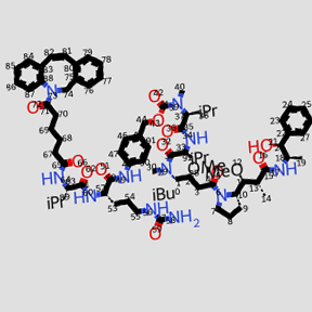 CC[C@H](C)[C@@H]([C@@H](CC(=O)N1CCC[C@H]1[C@H](OC)[C@@H](C)C(=O)N[C@H](C)[C@@H](O)c1ccccc1)OC)N(C)C(=O)[C@@H](NC(=O)[C@H](C(C)C)N(C)C(=O)OCc1ccc(NC(=O)[C@H](CCCNC(N)=O)NC(=O)[C@@H](NC(=O)CCCCC(=O)N2Cc3ccccc3/C=C\c3ccccc32)C(C)C)cc1)C(C)C